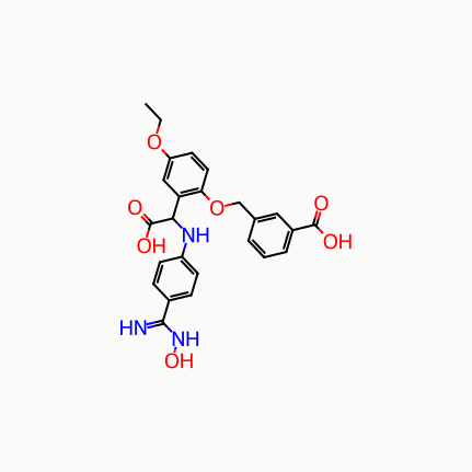 CCOc1ccc(OCc2cccc(C(=O)O)c2)c(C(Nc2ccc(C(=N)NO)cc2)C(=O)O)c1